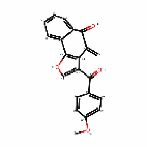 C=C1C(=O)c2ccccc2-c2occ(C(=O)c3ccc(OC)cc3)c21